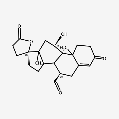 CC12CCC(=O)C=C1C[C@@H](C=O)C1C2[C@H](O)CC2(C)C1CC[C@@]21CCC(=O)O1